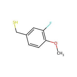 COc1ccc(CS)cc1F